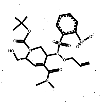 C=CCON(C1CN(C(=O)OC(C)(C)C)C(CO)C=C1C(=O)N(C)C)S(=O)(=O)c1ccccc1[N+](=O)[O-]